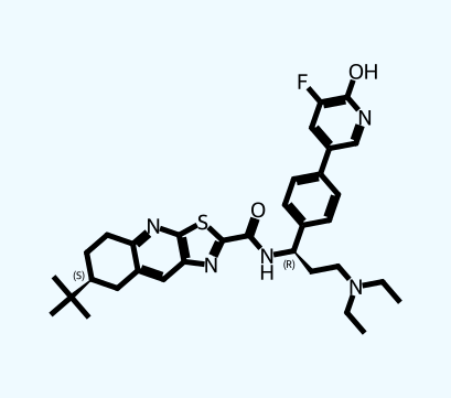 CCN(CC)CC[C@@H](NC(=O)c1nc2cc3c(nc2s1)CC[C@H](C(C)(C)C)C3)c1ccc(-c2cnc(O)c(F)c2)cc1